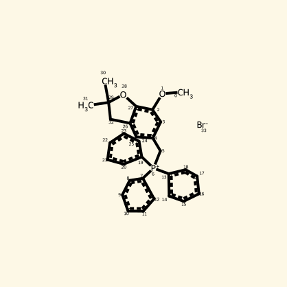 COc1cc(C[P+](c2ccccc2)(c2ccccc2)c2ccccc2)cc2c1OC(C)(C)C2.[Br-]